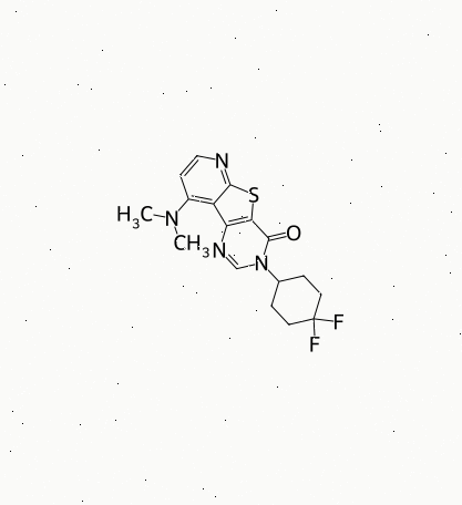 CN(C)c1ccnc2sc3c(=O)n(C4CCC(F)(F)CC4)cnc3c12